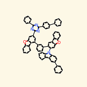 c1ccc(-c2ccc(-c3nc(-c4ccccc4)nc(-c4cc(-c5cccc(-c6cc7c(cc6-n6c8ccccc8c8cc(-c9ccccc9)ccc86)oc6ccccc67)c5)c5c(c4)oc4ccccc45)n3)cc2)cc1